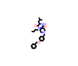 CCCCN1C(=O)C(CC(C)C)NC(=O)C12CCN(Cc1ccc(OCc3ccccc3)cc1)CC2